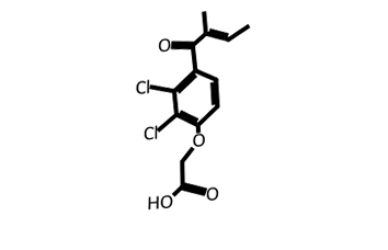 CC=C(C)C(=O)c1ccc(OCC(=O)O)c(Cl)c1Cl